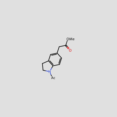 COC(=O)Cc1ccc2c(c1)CCN2C(C)=O